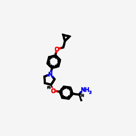 C[C@H](N)c1ccc(O[C@@H]2CCN(c3ccc(OCC4CC4)cc3)C2)cc1